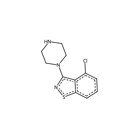 Clc1cccc2snc(N3CCNCC3)c12